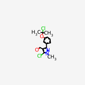 Cn1nc(-c2cccc(OC(C)(C)Cl)c2)c(C=O)c1Cl